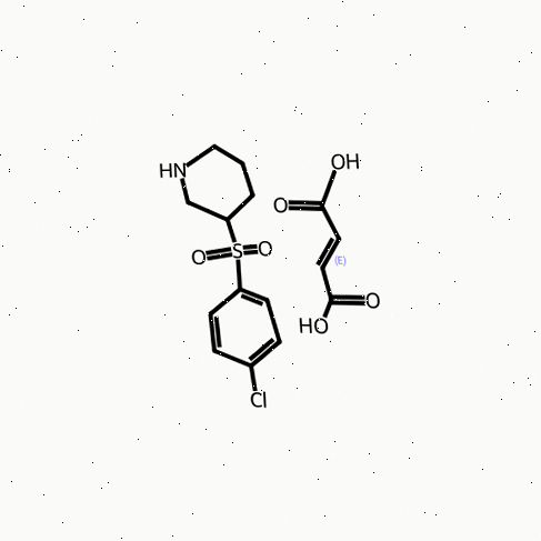 O=C(O)/C=C/C(=O)O.O=S(=O)(c1ccc(Cl)cc1)C1CCCNC1